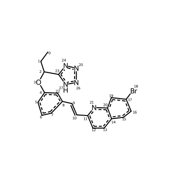 CCC(Oc1cccc(C=Cc2ccc3ccc(Br)cc3n2)c1)c1nnn[nH]1